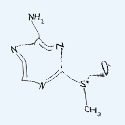 C[S+]([O-])c1ncnc(N)n1